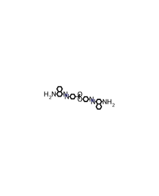 Nc1ccc(/N=N/c2ccc(OC(=O)c3ccc(/N=N/c4ccc(N)c5ccccc45)cc3)cc2)c2ccccc12